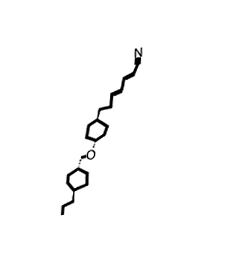 CCC[C@H]1CC[C@H](CO[C@H]2CC[C@H](CC/C=C/C=C/C#N)CC2)CC1